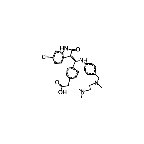 CN(C)CCN(C)Cc1ccc(N/C(=C2\C(=O)Nc3cc(Cl)ccc32)c2ccc(CC(=O)O)cc2)cc1